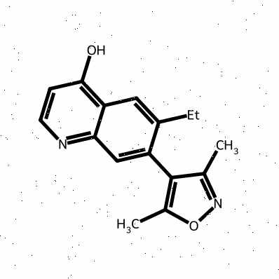 CCc1cc2c(O)ccnc2cc1-c1c(C)noc1C